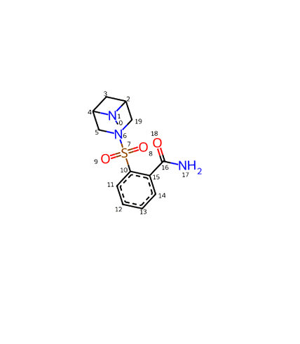 CN1C2CC1CN(S(=O)(=O)c1ccccc1C(N)=O)C2